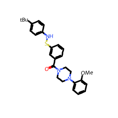 COc1ccccc1N1CCN(C(=O)c2cccc(SNc3ccc(C(C)(C)C)cc3)c2)CC1